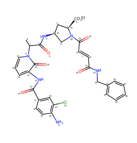 CCOC(=O)[C@@H]1C[C@H](NC(=O)C(C)n2cccc(NC(=O)c3ccc(N)c(Cl)c3)c2=O)CN1C(=O)/C=C/C(=O)NCc1ccccc1